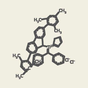 Cc1cc(C)c(-c2ccc3c(c2)[CH]([Ti+2]([C]2=CC=CC2)=[C](c2ccccc2)c2ccccc2)c2cc(-c4c(C)cc(C)cc4C)ccc2-3)c(C)c1.[Cl-].[Cl-]